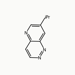 CC(C)c1cnc2ccnnc2c1